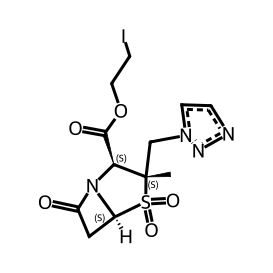 C[C@]1(Cn2ccnn2)[C@H](C(=O)OCCI)N2C(=O)C[C@@H]2S1(=O)=O